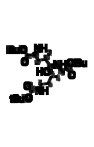 CC(C)COC(=O)[C@H](CCCCNC(=O)OC(C)(C)C)NC(O)CC[C@H](N)C(=O)OCC(C)C